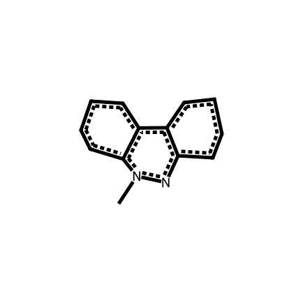 C[n+]1nc2ccccc2c2ccccc21